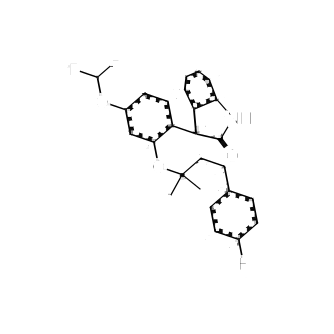 CC1(C)Oc2cc(OC(F)F)ccc2[C@@]2(C(=O)Nc3ccccc32)C1Cc1ccc(F)cc1